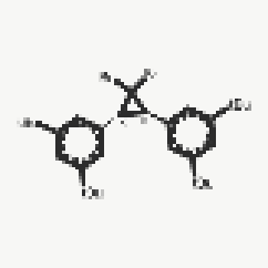 CC(C)(C)c1cc([C@H]2[C@H](c3cc(C(C)(C)C)cc(C(C)(C)C)c3)C2(Br)Br)cc(C(C)(C)C)c1